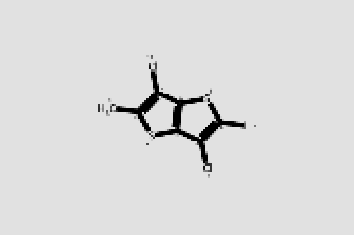 Cc1sc2c(Cl)c(I)sc2c1Cl